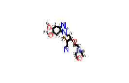 COC1=Cc2ncn(-c3cc(OCCN4CCOCC4)c(C#N)s3)c2CC1OC